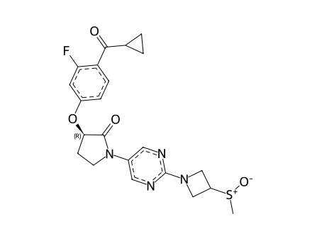 C[S+]([O-])C1CN(c2ncc(N3CC[C@@H](Oc4ccc(C(=O)C5CC5)c(F)c4)C3=O)cn2)C1